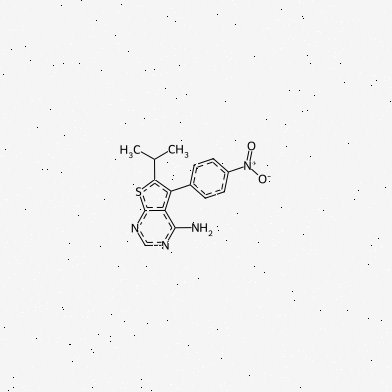 CC(C)c1sc2ncnc(N)c2c1-c1ccc([N+](=O)[O-])cc1